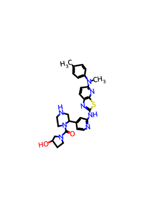 Cc1ccc(N(C)c2ccc3nc(Nc4cc(C5CNCCN5C(=O)N5CCC(O)C5)ccn4)sc3n2)cc1